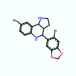 CC(=O)c1ccc2c(c1)C1NCCC1C(c1cc3c(cc1Br)OCO3)N2